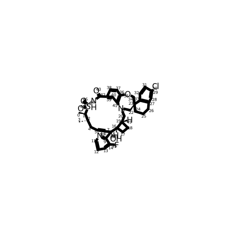 C[C@@H]1[C@@H](C)C/C=C/[C@](O)(c2ncccc2F)[C@@H]2CC[C@H]2CN2C[C@@]3(CCCc4cc(Cl)ccc43)COc3ccc(cc32)C(=O)NS1(=O)=O